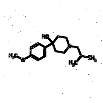 COc1ccc(C2(O)CCN(C[C](C)C)CC2)cc1